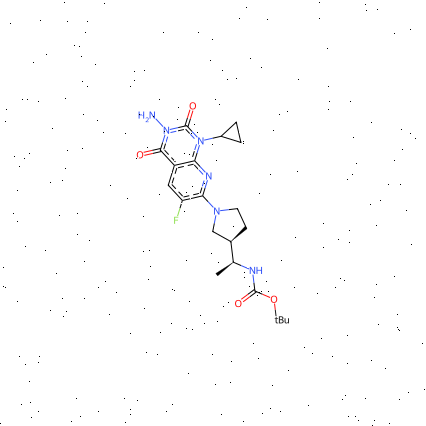 C[C@H](NC(=O)OC(C)(C)C)[C@@H]1CCN(c2nc3c(cc2F)c(=O)n(N)c(=O)n3C2CC2)C1